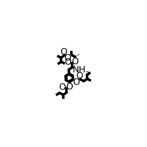 CCC(C)CC(=O)Oc1ccc(C[C@H](N)C(=O)O[C@@H](C)C(C)OC(=O)C(C)C(C)C)cc1OC(=O)CC(C)CC